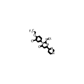 CCSc1nc(-c2ccncn2)cc(=O)n1-c1ccc(OCC(F)(F)F)c(Cl)c1